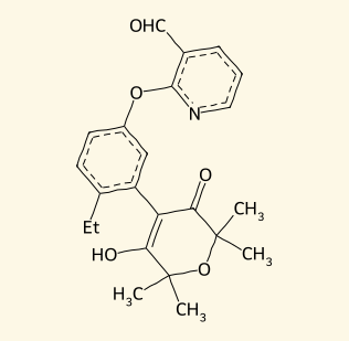 CCc1ccc(Oc2ncccc2C=O)cc1C1=C(O)C(C)(C)OC(C)(C)C1=O